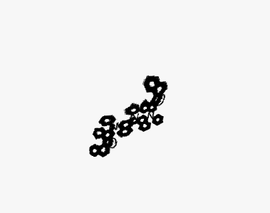 c1ccc(N(c2cc3oc4ccc5ccccc5c4c3c3ccccc23)c2cc3c(c4ccccc24)c2c4ccccc4c(N(c4ccccc4)c4cc5oc6ccc7ccccc7c6c5c5ccccc45)cc2n3-c2ccccc2)cc1